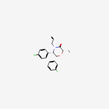 C=CCN1C(=O)[C@H](CC(=O)O)O[C@H](c2cccc(Cl)c2)[C@H]1c1ccc(Cl)cc1